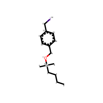 CCCC[Si](C)(C)OCc1ccc(CI)cc1